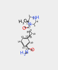 C[C@H]1CNCCN1C(=O)[C@@H]1C[C@H]1c1cccc(C(N)=O)c1